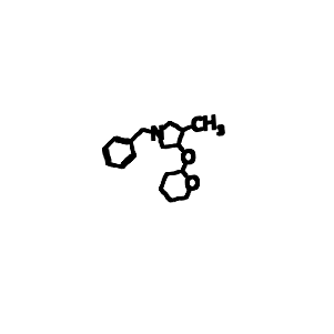 CC1CN(Cc2ccccc2)CC1OC1CCCCO1